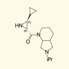 CC(C)N1CC2CCCN(C(=O)[C@@H]3N[C@H]3C3CC3)C2C1